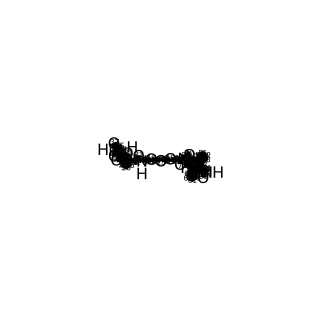 CO[C@@H]1[C@H](N(C)C(=O)CCOCCOCCOCCNC(=O)CNc2cccc3c2C(=O)N(C2CCC(=O)NC2=O)C3=O)C[C@H]2O[C@]1(C)n1c3ccccc3c3c4c(c5c6ccccc6n2c5c31)C(=O)NC4